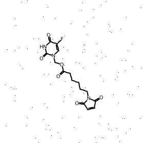 O=C(CCCCCN1C(=O)C=CC1=O)OCn1cc(F)c(=O)[nH]c1=O